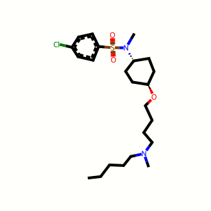 CCCCCN(C)CCCCO[C@H]1CC[C@H](N(C)S(=O)(=O)c2ccc(Cl)cc2)CC1